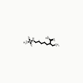 CCC(CCCCCNS(C)(=O)=O)C(=O)O